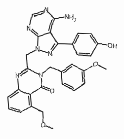 COCc1cccc2nc(Cn3nc(-c4ccc(O)cc4)c4c(N)ncnc43)n(Cc3cccc(OC)c3)c(=O)c12